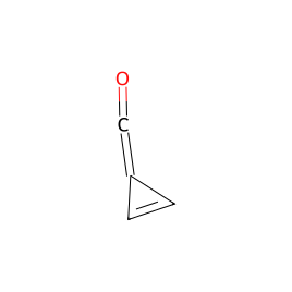 O=C=C1C=C1